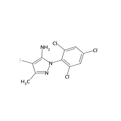 [C]c1c(C)nn(-c2c(Cl)cc(Cl)cc2Cl)c1N